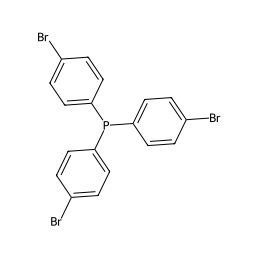 Brc1ccc(P(c2ccc(Br)cc2)c2ccc(Br)cc2)cc1